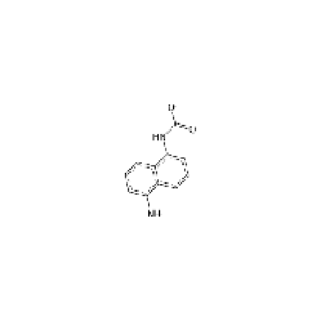 [NH]c1cccc2c(NC([O])=O)cccc12